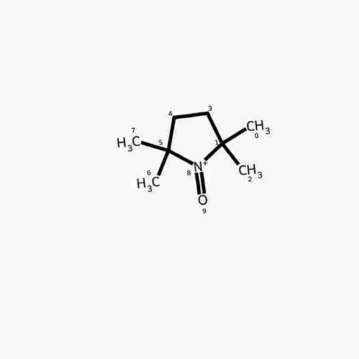 CC1(C)CCC(C)(C)[N+]1=O